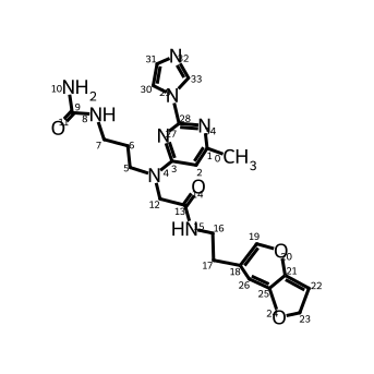 Cc1cc(N(CCCNC(N)=O)CC(=O)NCCC2=COC3=CCOC3=C2)nc(-n2ccnc2)n1